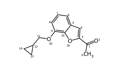 CC(=O)c1cc2cccc(OCC3CC3)c2o1